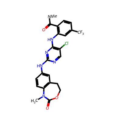 CNC(=O)c1ccc(C(F)(F)F)cc1Nc1nc(Nc2ccc3c(c2)CCOC(=O)N3C)ncc1Cl